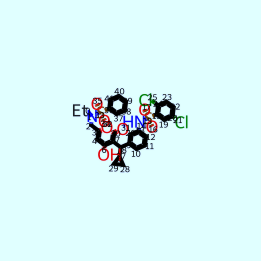 CCN(Cc1cc(O)c(C(c2cccc(NS(=O)(=O)c3cc(Cl)ccc3Cl)c2)C2CC2)c(=O)o1)S(=O)(=O)c1ccccc1